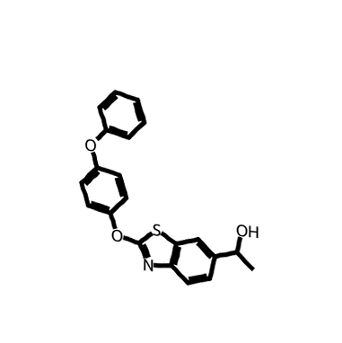 CC(O)c1ccc2nc(Oc3ccc(Oc4ccccc4)cc3)sc2c1